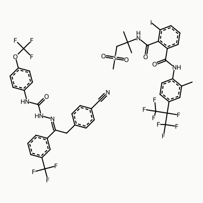 Cc1cc(C(F)(C(F)(F)F)C(F)(F)F)ccc1NC(=O)c1cccc(I)c1C(=O)NC(C)(C)CS(C)(=O)=O.N#Cc1ccc(CC(=NNC(=O)Nc2ccc(OC(F)(F)F)cc2)c2cccc(C(F)(F)F)c2)cc1